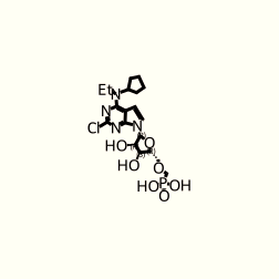 CCN(c1nc(Cl)nc2c1ccn2[C@@H]1O[C@H](COCP(=O)(O)O)[C@@H](O)[C@H]1O)C1CCCC1